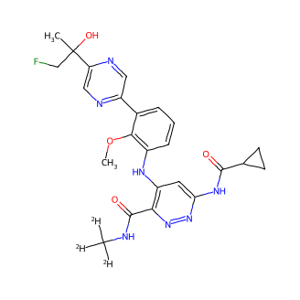 [2H]C([2H])([2H])NC(=O)c1nnc(NC(=O)C2CC2)cc1Nc1cccc(-c2cnc(C(C)(O)CF)cn2)c1OC